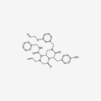 C=CCOc1cccc(CN2CC3N(C(=O)CN(CC=C)N3C(=O)NCc3ccccc3)C(Cc3ccc(O)cc3)C2=O)c1